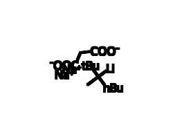 O=C([O-])CC(=O)[O-].[Li][C](C)(CCCC)C(C)(C)C.[Na+].[Na+]